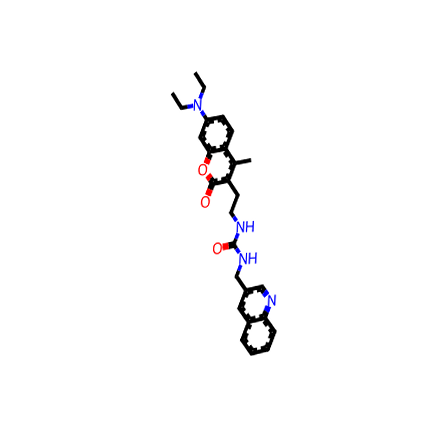 CCN(CC)c1ccc2c(C)c(CCNC(=O)NCc3cnc4ccccc4c3)c(=O)oc2c1